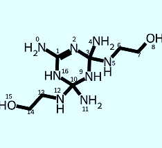 NC1=NC(N)(NCCO)NC(N)(NCCO)N1